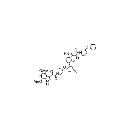 COc1ncc(OC)c2c(C(=O)C(=O)N3CCC(Oc4ccc(Cl)cc4-c4ccc5[nH]cc(C(=O)C(=O)N6CCCC(Oc7ccccc7)C6)c5c4F)CC3)c[nH]c12